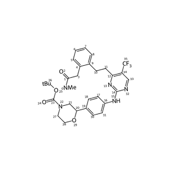 CNC(=O)Cc1ccccc1CCc1nc(Nc2ccc(C3CN(C(=O)OC(C)(C)C)CCO3)cc2)ncc1C(F)(F)F